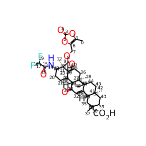 Cc1oc(=O)oc1COC(=O)[C@]1(C)[C@@H](NC(=O)C(F)F)CC[C@@]2(C)[C@H]1CC[C@]1(C)[C@@H]2C(=O)C=C2[C@@H]3C[C@@](C)(C(=O)O)CC[C@]3(C)CC[C@]21C